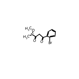 CON(C)C(=O)CC(=O)c1ccccc1Br